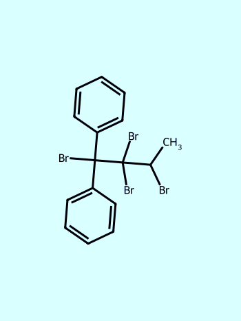 CC(Br)C(Br)(Br)C(Br)(c1ccccc1)c1ccccc1